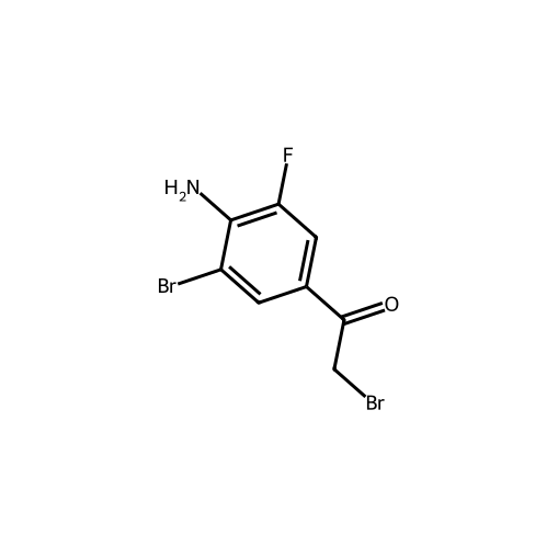 Nc1c(F)cc(C(=O)CBr)cc1Br